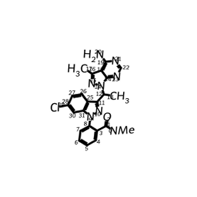 CNC(=O)c1ccccc1-n1nc(C(C)n2nc(C)c3c(N)ncnc32)c2ccc(Cl)cc21